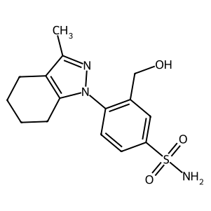 Cc1nn(-c2ccc(S(N)(=O)=O)cc2CO)c2c1CCCC2